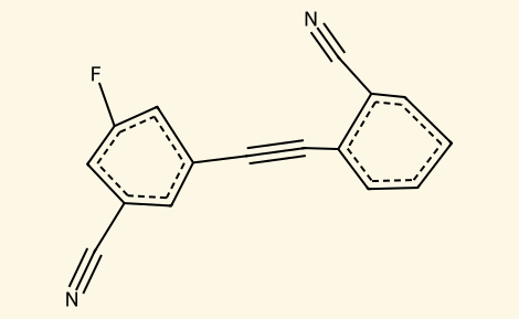 N#Cc1cc(F)cc(C#Cc2ccccc2C#N)c1